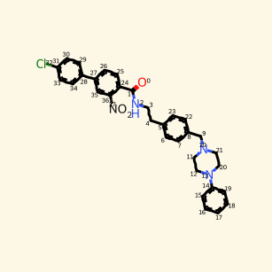 O=C(NCCc1ccc(CN2CCN(c3ccccc3)CC2)cc1)c1ccc(-c2ccc(Cl)cc2)cc1[N+](=O)[O-]